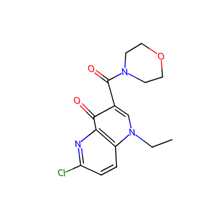 CCn1cc(C(=O)N2CCOCC2)c(=O)c2nc(Cl)ccc21